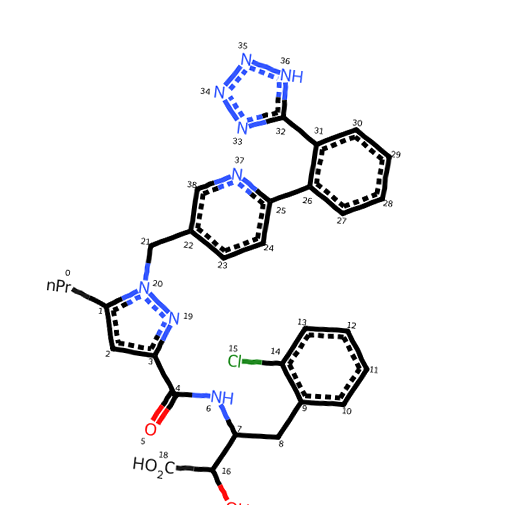 CCCc1cc(C(=O)NC(Cc2ccccc2Cl)C(O)C(=O)O)nn1Cc1ccc(-c2ccccc2-c2nnn[nH]2)nc1